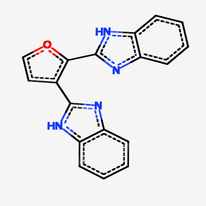 c1ccc2[nH]c(-c3ccoc3-c3nc4ccccc4[nH]3)nc2c1